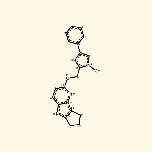 Cn1cc(-c2ccccc2)nc1COc1ccc2nc3c(n2n1)CCC3